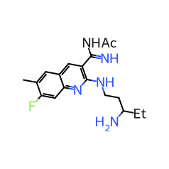 CCC(N)CCNc1nc2cc(F)c(C)cc2cc1C(=N)NC(C)=O